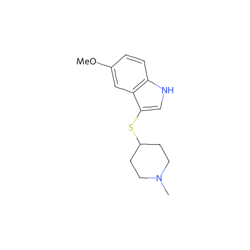 COc1ccc2[nH]cc(SC3CCN(C)CC3)c2c1